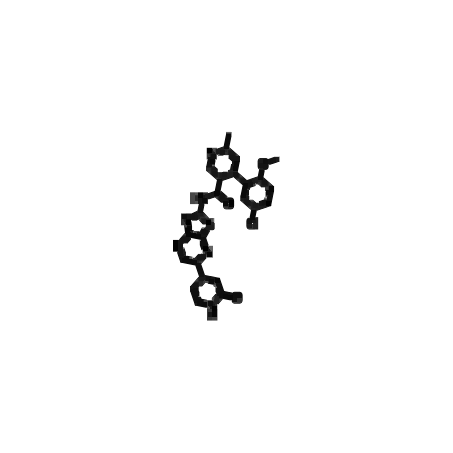 COc1ccc(Cl)cc1-c1cc(C)ncc1C(=O)Nc1nc2ncc(-c3cc[nH]c(=O)c3)nc2s1